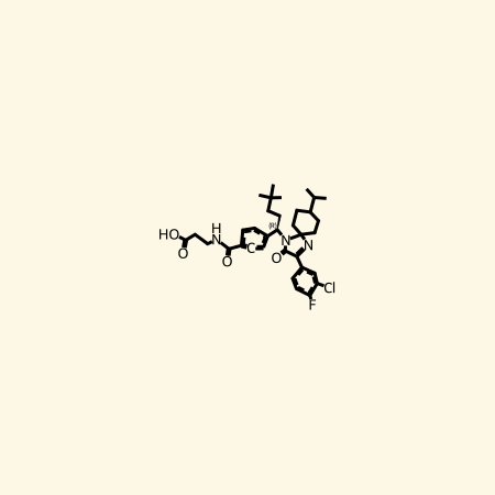 CC(C)C1CCC2(CC1)N=C(c1ccc(F)c(Cl)c1)C(=O)N2[C@H](CCC(C)(C)C)c1ccc(C(=O)NCCC(=O)O)cc1